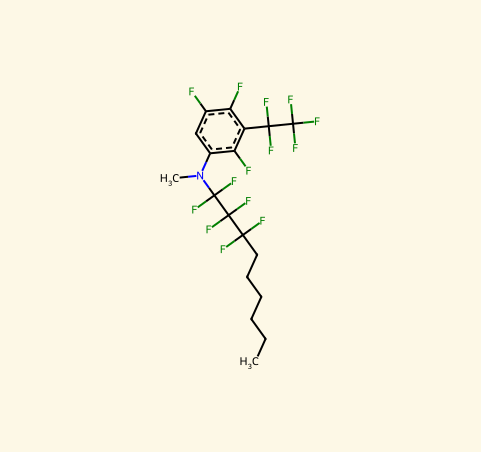 CCCCCCC(F)(F)C(F)(F)C(F)(F)N(C)c1cc(F)c(F)c(C(F)(F)C(F)(F)F)c1F